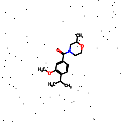 COc1cc(C(=O)N2CCOC(C)C2)ccc1C(C)C